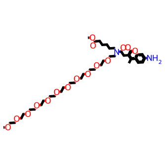 COCCOCCOCCOCCOCCOCCOCCOCCOCCOCCOCCN(CCCCCC(=O)OC)C(=O)Cc1c(C)c2ccc(N)cc2oc1=O